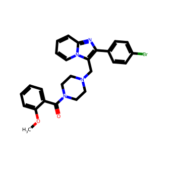 COc1ccccc1C(=O)N1CCN(Cc2c(-c3ccc(Br)cc3)nc3ccccn23)CC1